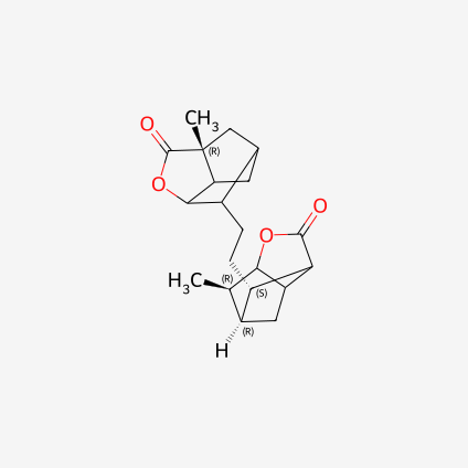 C[C@H]1C2OC(=O)C3C2C[C@@H]1[C@@H]3CCC1C2CC3C1OC(=O)[C@]3(C)C2